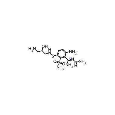 NCC(O)CNSc1ccc(N)c(/C(N)=N/NN)c1S(N)(=O)=O